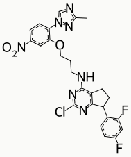 Cc1ncn(-c2ccc([N+](=O)[O-])cc2OCCCNc2nc(Cl)nc3c2CCC3c2ccc(F)cc2F)n1